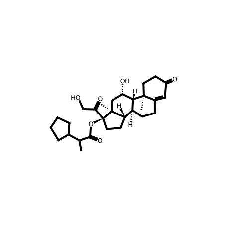 CC(C(=O)O[C@]1(C(=O)CO)CC[C@H]2[C@@H]3CCC4=CC(=O)CC[C@]4(C)[C@H]3[C@@H](O)C[C@@]21C)C1CCCC1